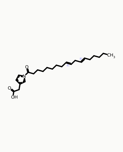 CCCCC/C=C/C/C=C/CCCCCCCC(=O)n1ccc(CC(=O)O)c1